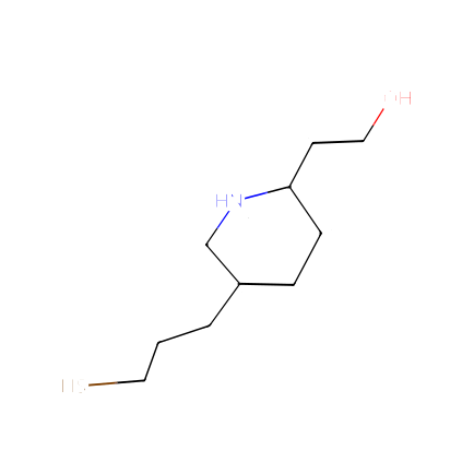 O[CH]CC1CCC(CCCS)CN1